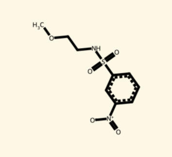 COCCNS(=O)(=O)c1cccc([N+](=O)[O-])c1